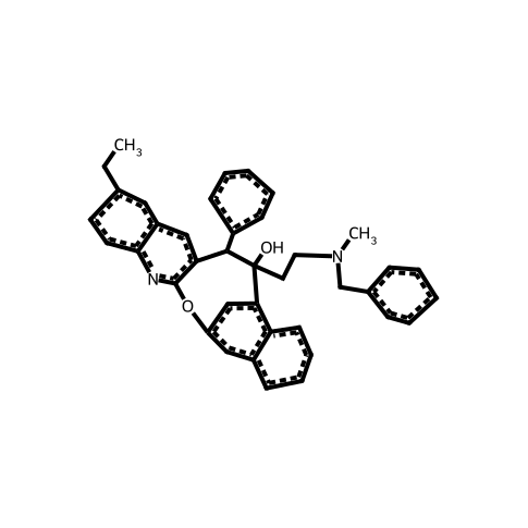 CCc1ccc2nc3c(cc2c1)C(c1ccccc1)C(O)(CCN(C)Cc1ccccc1)c1cc(cc2ccccc12)O3